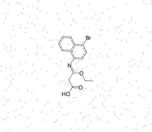 CCOC(CC(=O)O)=Nc1ccc(Br)c2ccccc12